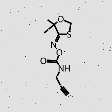 C#CCNC(=O)ON=C1SCOC1(C)C